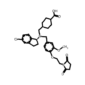 COc1cc(CN(CC2CCC(C(=O)O)CC2)[C@H]2CCc3cc(Cl)ccc32)ccc1OCCN1C(=O)CCC1=O